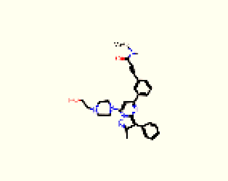 CON(C)C(=O)C#Cc1cccc(-c2cc(N3CCN(CCO)CC3)n3nc(C)c(-c4ccccc4)c3n2)c1